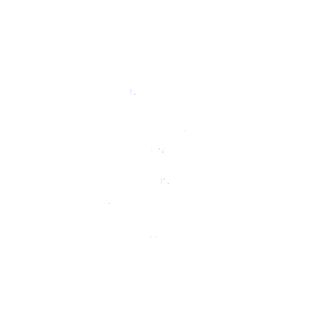 CCOC(=O)c1c(NC(=O)NC(C(=O)Cc2cccs2)C2CCNCC2)sc2c1CCCC2